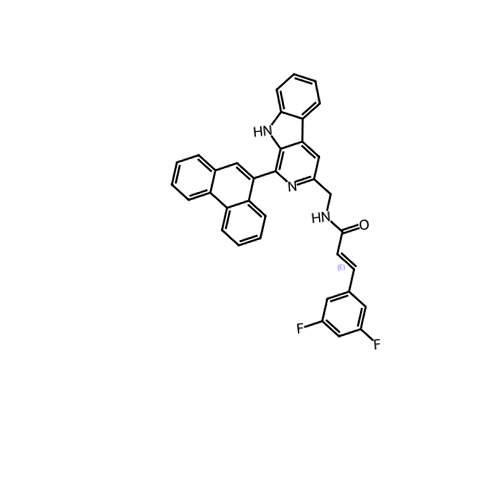 O=C(/C=C/c1cc(F)cc(F)c1)NCc1cc2c([nH]c3ccccc32)c(-c2cc3ccccc3c3ccccc23)n1